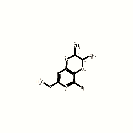 CSc1cc2c(c(Br)n1)OC(C)C(C)O2